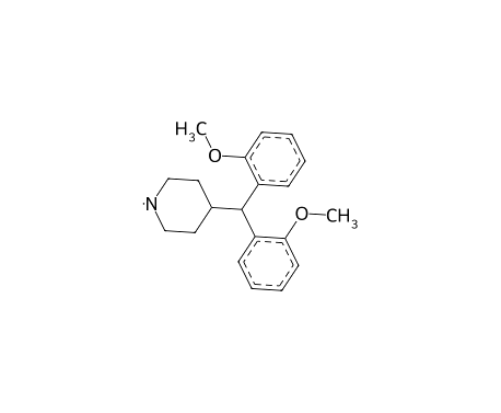 COc1ccccc1C(c1ccccc1OC)C1CC[N]CC1